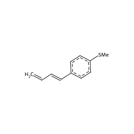 C=CC=Cc1ccc(SC)cc1